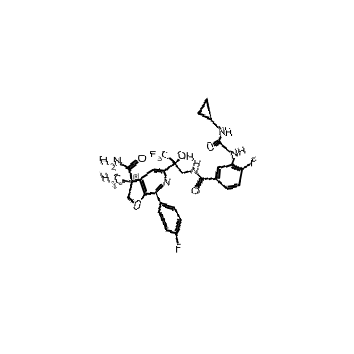 C[C@]1(C(N)=O)COc2c1cc(C(O)(CNC(=O)c1ccc(F)c(NC(=O)NC3CC3)c1)C(F)(F)F)nc2-c1ccc(F)cc1